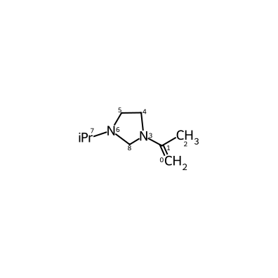 C=C(C)N1CCN(C(C)C)C1